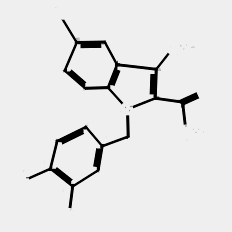 COC(=O)c1c(OC)c2cc(Cl)ccc2n1Cc1ccc(Cl)c(Cl)c1